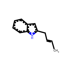 CC=CCc1cc2ccccc2[nH]1